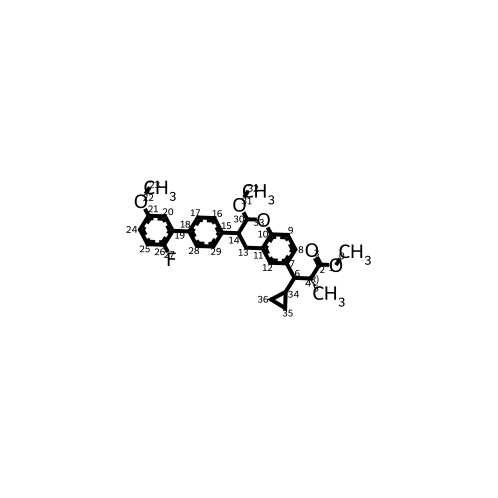 COC(=O)[C@H](C)C(c1ccc2c(c1)CC(c1ccc(-c3cc(OC)ccc3F)cc1)C(OC)O2)C1CC1